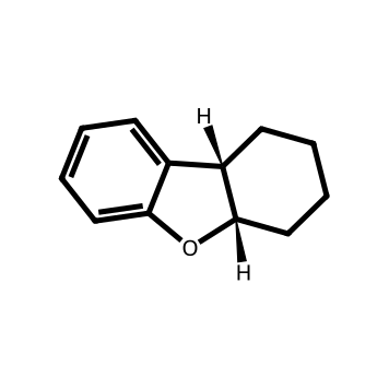 c1ccc2c(c1)O[C@H]1CCCC[C@@H]21